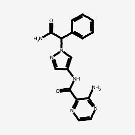 NC(=O)C(c1ccccc1)n1cc(NC(=O)c2nccnc2N)cn1